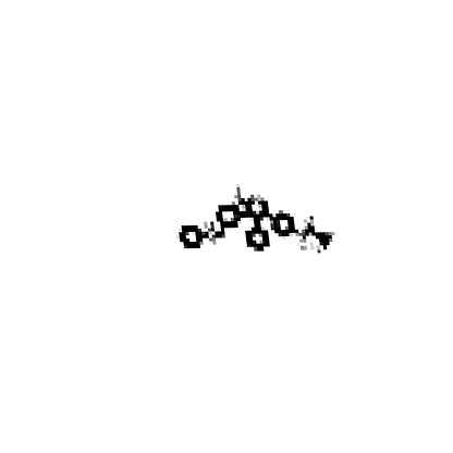 CN(C(=O)C1CC1)c1ccc(-c2cnc3[nH]c4ccc(CS(=O)(=O)c5ccccc5)cc4c3c2-c2ccccc2)cc1